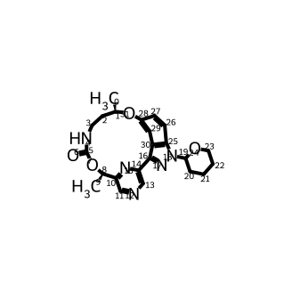 C[C@@H]1CCNC(=O)O[C@H](C)c2cncc(n2)-c2nn(C3CCCCO3)c3ccc(cc23)O1